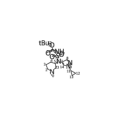 CN1CCC[C@@H](N(c2cnn(C3CC3)c2)S(=O)(=O)NC(=O)OC(C)(C)C)C1